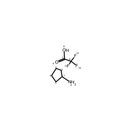 NC1CCCC1.O=C(O)C(F)(F)F